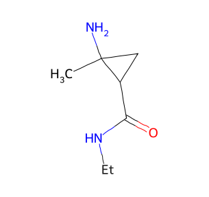 CCNC(=O)C1CC1(C)N